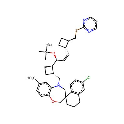 CC(C)(C)[Si](C)(C)O[C@@H](/C=C\[C@@H]1CC[C@H]1CSc1ncccn1)[C@@H]1CC[C@H]1CN1CC2(CCCc3cc(Cl)ccc32)COc2ccc(C(=O)O)cc21